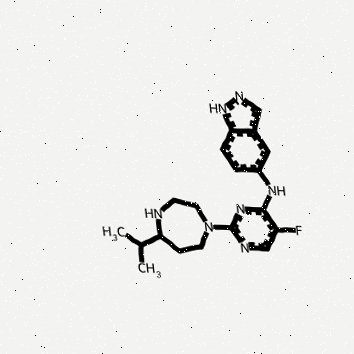 CC(C)C1CCN(c2ncc(F)c(Nc3ccc4[nH]ncc4c3)n2)CCN1